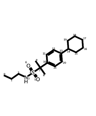 CCCNS(=O)(=O)C(C)(C)c1ccc(C2CCCCC2)cc1